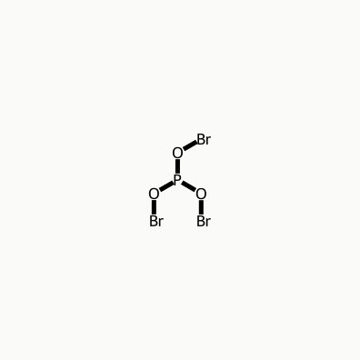 BrOP(OBr)OBr